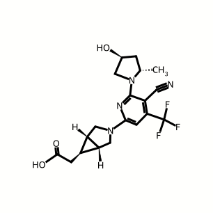 C[C@H]1C[C@H](O)CN1c1nc(N2C[C@@H]3[C@@H](CC(=O)O)[C@@H]3C2)cc(C(F)(F)F)c1C#N